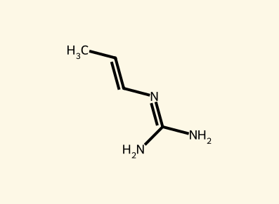 CC=CN=C(N)N